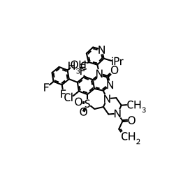 C=CC(=O)N1CC2CS(=O)(=O)c3c(Cl)c(-c4c(O)ccc(F)c4F)c(F)c4c3c(nc(=O)n4-c3c(C)ccnc3C(C)C)N2CC1C